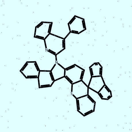 c1ccc(-c2cc(-n3c4ccc5c(c4c4ccc6ccccc6c43)Sc3ccccc3C53c4ccccc4-c4ccccc43)nc3ccccc23)cc1